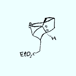 CCOC(=O)CC1C2B3C4C[C@@H]1[C@@]32C4